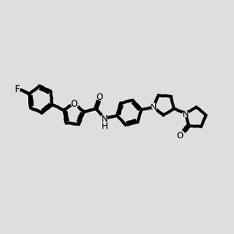 O=C(Nc1ccc(N2CCC(N3CCCC3=O)C2)cc1)c1ccc(-c2ccc(F)cc2)o1